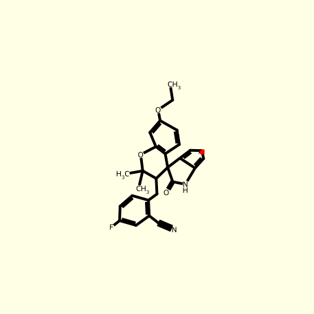 CCOc1ccc2c(c1)OC(C)(C)C(Cc1ccc(F)cc1C#N)C21C(=O)Nc2ccccc21